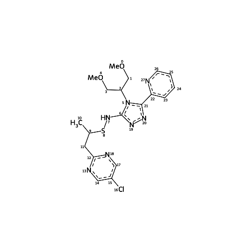 COCC(COC)n1c(NSC(C)Cc2ncc(Cl)cn2)nnc1-c1ccccn1